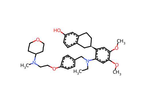 CCN(Cc1ccc(OCCN(C)C2CCOCC2)cc1)c1cc(OC)c(OC)cc1[C@@H]1CCc2cc(O)ccc2C1